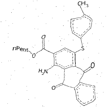 CCCCCOC(=O)c1cc(Sc2ccc(C)cc2)c2c(c1N)C(=O)c1ccccc1C2=O